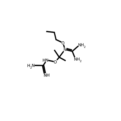 CCCO[N+](=C(N)N)C(C)(C)ONC(=N)N